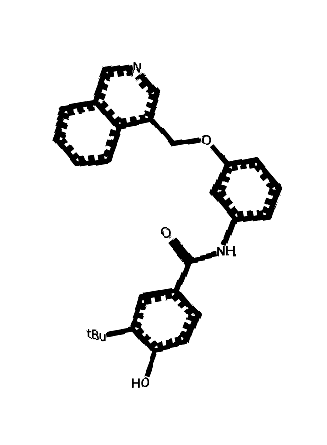 CC(C)(C)c1cc(C(=O)Nc2cccc(OCc3cncc4ccccc34)c2)ccc1O